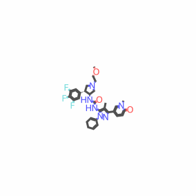 COCCN1C[C@@H](NC(=O)Nc2c(C)c(-c3ccc(=O)n(C)c3)nn2C2=CCCC=C2)[C@H](c2cc(F)c(F)c(F)c2)C1